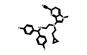 Cn1cc(N(CCNC(c2ccc(F)cc2)c2ccc(F)cc2)CCC2CC2)c2c1=CCC(C#N)N=2